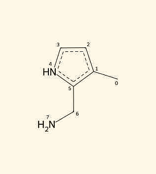 Cc1cc[nH]c1CN